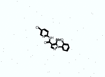 COc1ccccc1-n1ncc(C(=O)Nc2ccc(Cl)cn2)c1N